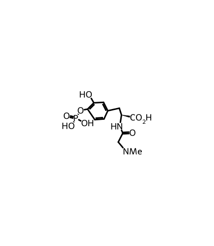 CNCC(=O)N[C@@H](Cc1ccc(OP(=O)(O)O)c(O)c1)C(=O)O